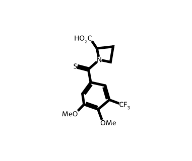 COc1cc(C(=S)N2CCC2C(=O)O)cc(C(F)(F)F)c1OC